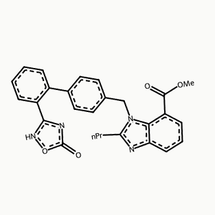 CCCc1nc2cccc(C(=O)OC)c2n1Cc1ccc(-c2ccccc2-c2nc(=O)o[nH]2)cc1